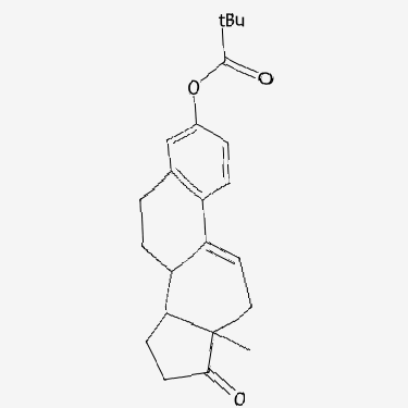 CC(C)(C)C(=O)Oc1ccc2c(c1)CCC1C2=CCC2(C)C(=O)CCC12